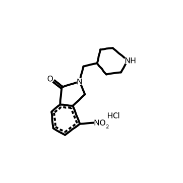 Cl.O=C1c2cccc([N+](=O)[O-])c2CN1CC1CCNCC1